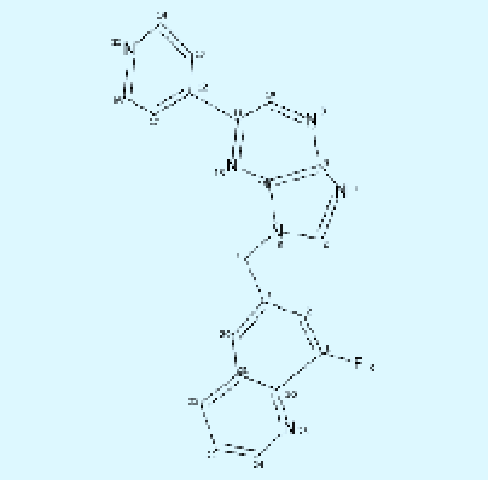 Fc1cc(Cn2cnc3ncc(-c4ccncc4)nc32)cc2cccnc12